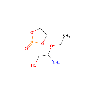 CCOC(N)CO.O=[PH]1OCCO1